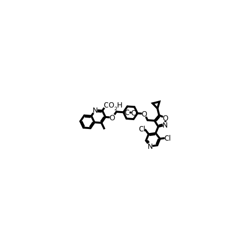 Cc1c(OCC23CCC(OCc4c(-c5c(Cl)cncc5Cl)noc4C4CC4)(CC2)CC3)c(C(=O)O)nc2ccccc12